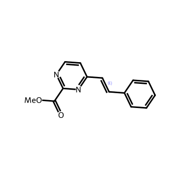 COC(=O)c1nccc(/C=C/c2ccccc2)n1